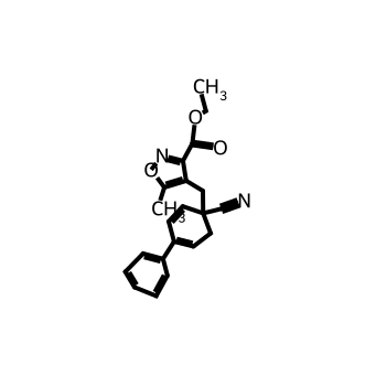 CCOC(=O)c1noc(C)c1CC1(C#N)C=CC(c2ccccc2)=CC1